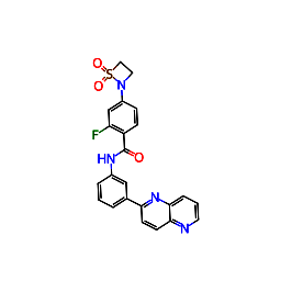 O=C(Nc1cccc(-c2ccc3ncccc3n2)c1)c1ccc(N2CCS2(=O)=O)cc1F